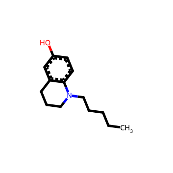 CCCCCN1CCCc2cc(O)ccc21